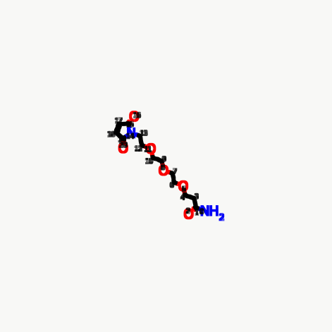 NC(=O)CCOCCOCCOCCN1C(=O)C=CC1=O